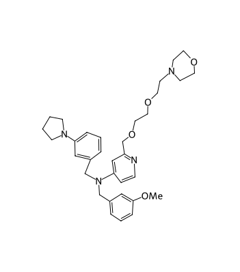 COc1cccc(CN(Cc2cccc(N3CCCC3)c2)c2ccnc(COCCOCCN3CCOCC3)c2)c1